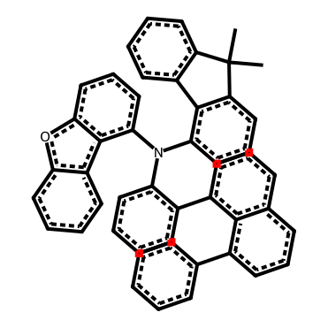 CC1(C)c2ccccc2-c2c(N(c3ccccc3-c3cccc4cccc(-c5ccccc5)c34)c3cccc4oc5ccccc5c34)cccc21